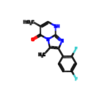 CCOC(=O)c1c[nH]c2nc(-c3ccc(F)cc3F)c(C)n2c1=O